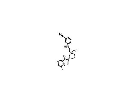 Cc1cncc(C(=O)N[C@H]2CCC[C@](C=O)(CCNc3cccc(C#N)c3)C2)n1